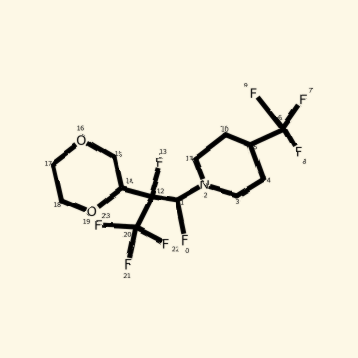 FC(N1CCC(C(F)(F)F)CC1)C(F)(C1COCCO1)C(F)(F)F